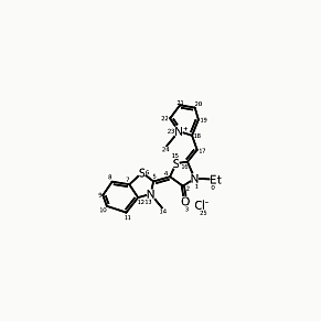 CCn1c(=O)/c(=C2/Sc3ccccc3N2C)s/c1=C\c1cccc[n+]1C.[Cl-]